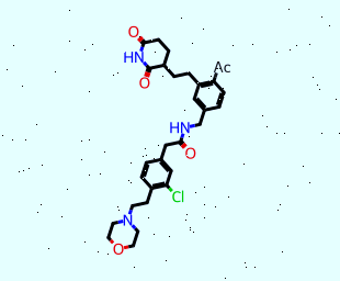 CC(=O)c1ccc(CNC(=O)Cc2ccc(CCN3CCOCC3)c(Cl)c2)cc1CCC1CCC(=O)NC1=O